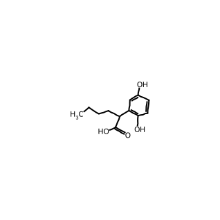 CCCCC(C(=O)O)c1cc(O)ccc1O